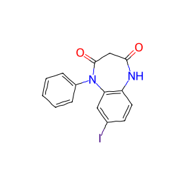 O=C1CC(=O)N(c2ccccc2)c2cc(I)ccc2N1